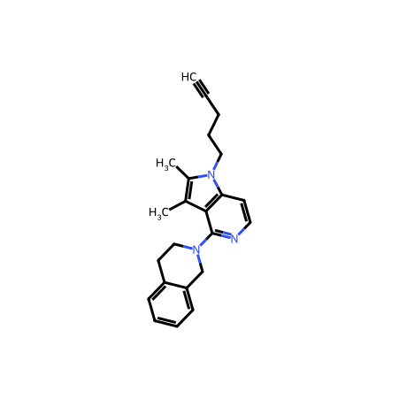 C#CCCCn1c(C)c(C)c2c(N3CCc4ccccc4C3)nccc21